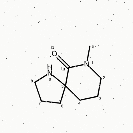 CN1CCCC2(CCCN2)C1=O